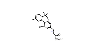 CCCCCC(=O)/C=C/c1cc(O)c2c(c1)OC(C)(C)C1CC=C(C)CC21